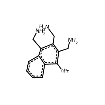 CCCc1c(CN)c(CN)c(CN)c2ccccc12